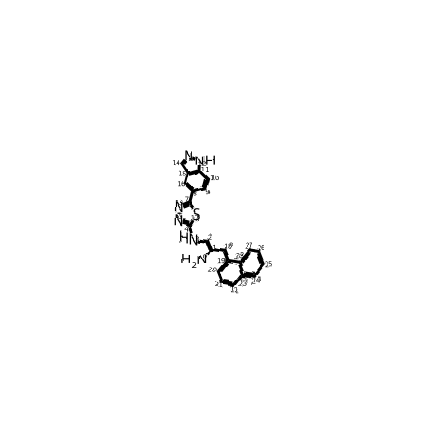 N[C@@H](CNc1nnc(-c2ccc3[nH]ncc3c2)s1)Cc1cccc2ccccc12